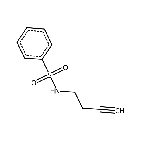 C#CCCNS(=O)(=O)c1ccccc1